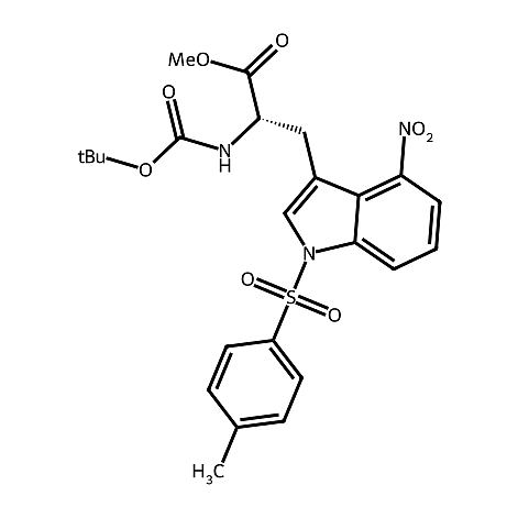 COC(=O)[C@H](Cc1cn(S(=O)(=O)c2ccc(C)cc2)c2cccc([N+](=O)[O-])c12)NC(=O)OC(C)(C)C